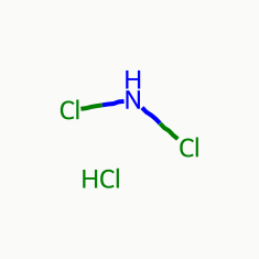 Cl.ClNCl